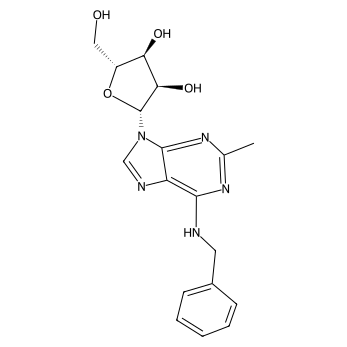 Cc1nc(NCc2ccccc2)c2ncn([C@@H]3O[C@H](CO)[C@@H](O)[C@H]3O)c2n1